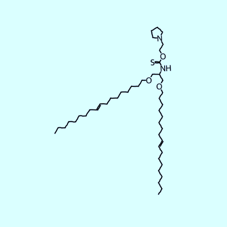 CCCCCCCCC=CCCCCCCCCOCC(COCCCCCCCCC=CCCCCCCCC)NC(=S)OCCN1CCCC1